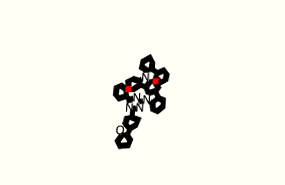 c1ccc(-c2nc(-c3ccc4c(c3)oc3ccccc34)nc(-n3c4ccccc4c4ccc5c(c6ccccc6n5-c5ccccc5-c5ccccc5)c43)n2)cc1